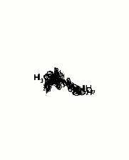 C[C@H](O)C(=O)N(C[C@@H]1CNC[C@@H]1F)[C@@H](c1nc(-c2cc(F)ccc2F)cn1Cc1ccccc1)C(C)(C)CC(=O)NCCOCCN1C(=O)CC(SC[C@H](N)C(=O)O)C1=O